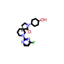 O=C1N([C@H]2CC[C@H](O)CC2)CC[C@@]12CCCN(c1nccc(F)n1)C2